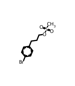 CS(=O)(=O)OCCCc1ccc(Br)cc1